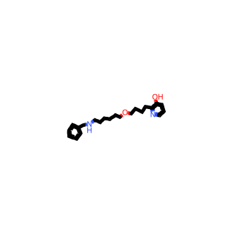 Oc1cccnc1CCCCOCCCCCCNCc1ccccc1